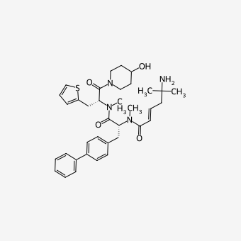 CN(C(=O)/C=C/CC(C)(C)N)[C@H](Cc1ccc(-c2ccccc2)cc1)C(=O)N(C)[C@H](Cc1cccs1)C(=O)N1CCC(O)CC1